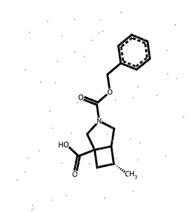 C[C@@H]1CC2(C(=O)O)CN(C(=O)OCc3ccccc3)CC12